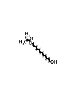 C=C(C)C(=O)OCCCCCCCCCCCCO